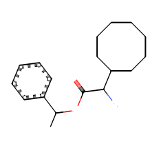 CC(OC(=O)C(N)C1CC[CH]CCCC1)c1ccccc1